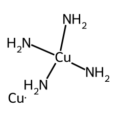 [Cu].[NH2][Cu]([NH2])([NH2])[NH2]